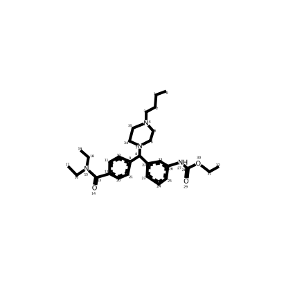 CCCCN1CCN(C(c2ccc(C(=O)N(CC)CC)cc2)c2cccc(NC(=O)OCC)c2)CC1